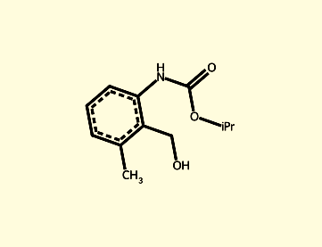 Cc1cccc(NC(=O)OC(C)C)c1CO